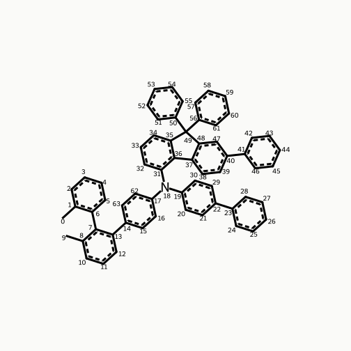 Cc1ccccc1-c1c(C)cccc1-c1ccc(N(c2ccc(-c3ccccc3)cc2)c2cccc3c2-c2ccc(-c4ccccc4)cc2C3(c2ccccc2)c2ccccc2)cc1